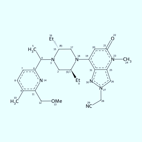 CC[C@H]1CN(C(C)c2ccc(C)c(COC)n2)[C@H](CC)CN1c1cc(=O)n(C)c2cn(CC#N)nc12